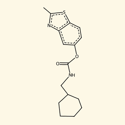 Cc1nc2cc(OC(=O)NCC3CCCCC3)ccc2s1